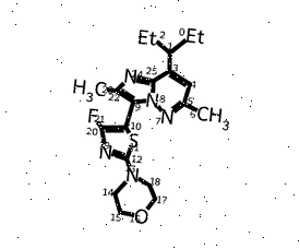 CCC(CC)c1cc(C)nn2c(-c3sc(N4CCOCC4)nc3F)c(C)nc12